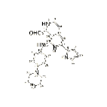 O=CC1NC=Cc2cc(-c3cscn3)nc(Nc3ccc(N4CCOCC4)cc3)c21